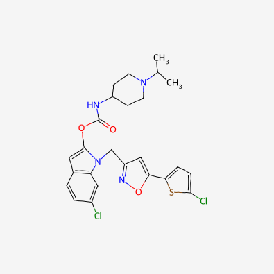 CC(C)N1CCC(NC(=O)Oc2cc3ccc(Cl)cc3n2Cc2cc(-c3ccc(Cl)s3)on2)CC1